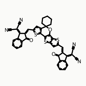 N#CC(C#N)=C1/C(=C/c2cc3c(s2)-c2sc4cc(/C=C5\C(=O)c6ccccc6C5=C(C#N)C#N)sc4c2OC32CCCCC2)C(=O)c2ccccc21